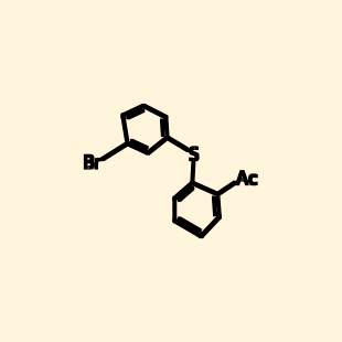 CC(=O)c1ccccc1Sc1cccc(Br)c1